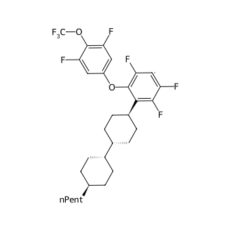 CCCCC[C@H]1CC[C@H]([C@H]2CC[C@H](c3c(F)c(F)[c]c(F)c3Oc3cc(F)c(OC(F)(F)F)c(F)c3)CC2)CC1